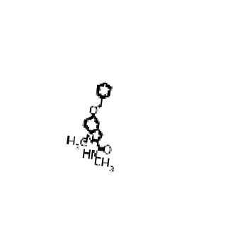 CNC(=O)c1cc2cc(OCc3ccccc3)ccc2n1C